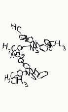 C#CCOc1ccc2c(c1)c(-c1ccc(C(C)C)cc1)nc(=S)n2Cc1cccc(S(C)(=O)=O)c1.C#CCOc1ccc2c(c1)c(-c1ccc(C(C)C)cc1)nc(=S)n2Cc1ccccc1